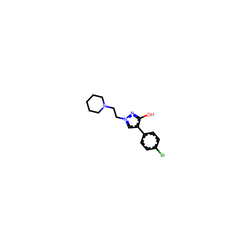 Oc1nn(CCN2CCCCC2)cc1-c1ccc(Br)cc1